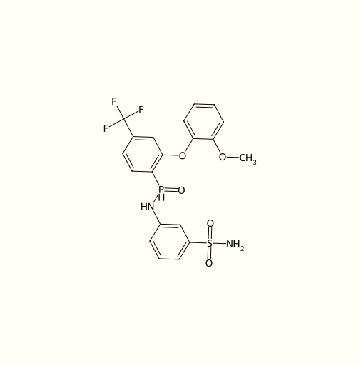 COc1ccccc1Oc1cc(C(F)(F)F)ccc1[PH](=O)Nc1cccc(S(N)(=O)=O)c1